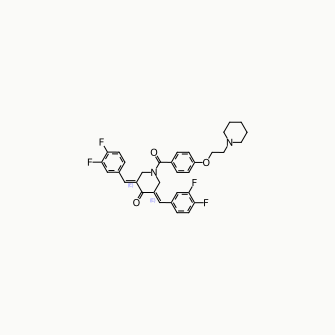 O=C1/C(=C/c2ccc(F)c(F)c2)CN(C(=O)c2ccc(OCCN3CCCCC3)cc2)C/C1=C\c1ccc(F)c(F)c1